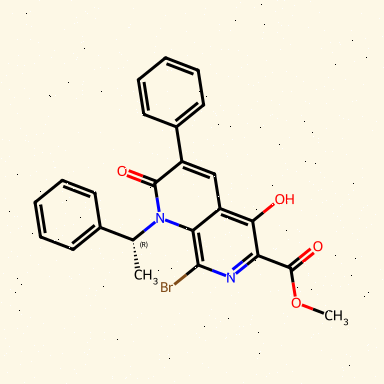 COC(=O)c1nc(Br)c2c(cc(-c3ccccc3)c(=O)n2[C@H](C)c2ccccc2)c1O